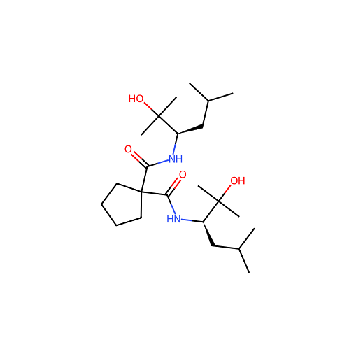 CC(C)C[C@@H](NC(=O)C1(C(=O)N[C@H](CC(C)C)C(C)(C)O)CCCC1)C(C)(C)O